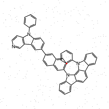 c1ccc(-n2c3ccncc3c3cc(-c4ccc5cc(-n6c7ccccc7c7ccc8c9ccccc9n(-c9ccccc9)c8c76)ccc5c4)ccc32)cc1